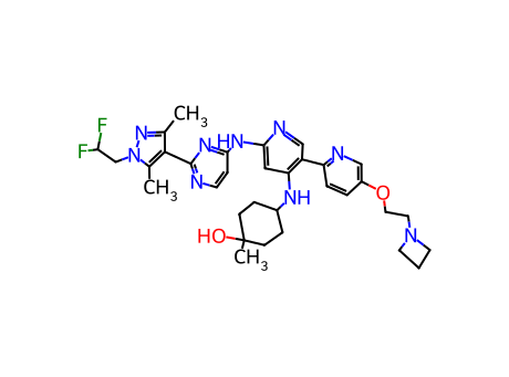 Cc1nn(CC(F)F)c(C)c1-c1nccc(Nc2cc(NC3CCC(C)(O)CC3)c(-c3ccc(OCCN4CCC4)cn3)cn2)n1